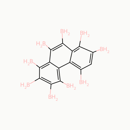 Bc1cc(B)c2c(c1B)c(B)c(B)c1c(B)c(B)c(B)c(B)c12